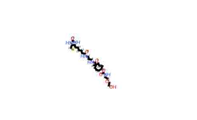 CC1(C(=O)NCCCNC(=O)CCCCC2SCC3NC(=O)NC32)C/C=C/C(OC(=O)NCCOCCO)CCC1